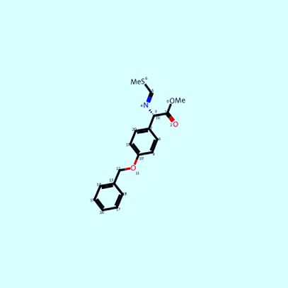 COC(=O)[C@@H](N=CSC)c1ccc(OCc2ccccc2)cc1